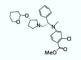 COC(=O)c1ccc(N(C)[C@H](CN2CC[C@H](OC3CCCCO3)C2)c2ccccc2)cc1Cl